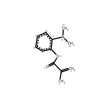 C=C(C)C(=O)Oc1ccccc1N(C)C